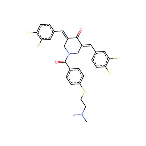 CN(C)CCSc1ccc(C(=O)N2CC(=Cc3ccc(F)c(F)c3)C(=O)C(=Cc3ccc(F)c(F)c3)C2)cc1